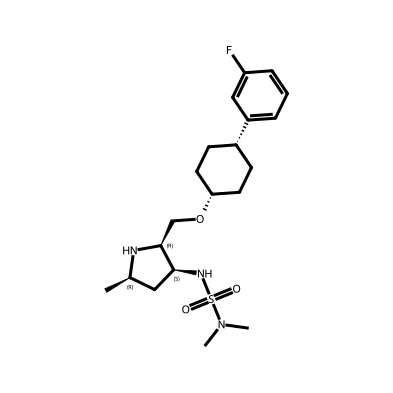 C[C@@H]1C[C@H](NS(=O)(=O)N(C)C)[C@H](CO[C@H]2CC[C@@H](c3cccc(F)c3)CC2)N1